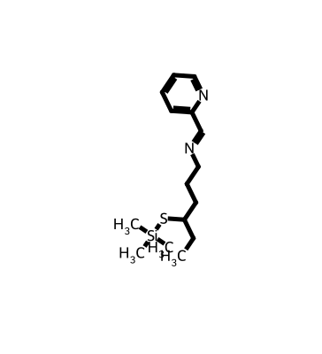 CCC(CCC/N=C/c1ccccn1)S[Si](C)(C)C